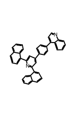 c1ccc2c(-c3cc(-c4ccc(-c5ccnc6ccccc56)cc4)cc(-c4cccc5ccccc45)n3)cccc2c1